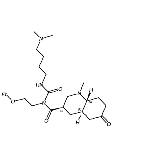 CCOCCN(C(=O)NCCCCN(C)C)C(=O)[C@@H]1C[C@@H]2CC(=O)CC[C@H]2N(C)C1